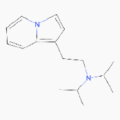 CC(C)N(CCc1ccn2ccccc12)C(C)C